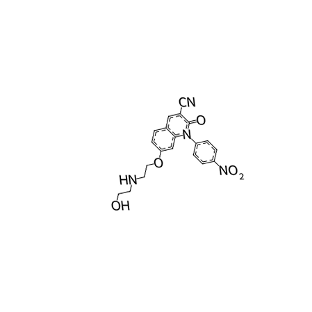 N#Cc1cc2ccc(OCCNCCO)cc2n(-c2ccc([N+](=O)[O-])cc2)c1=O